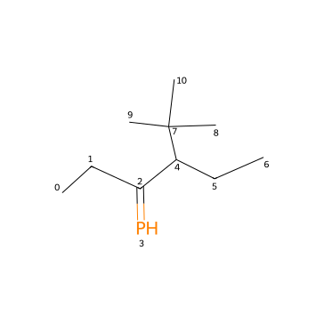 CCC(=P)C(CC)C(C)(C)C